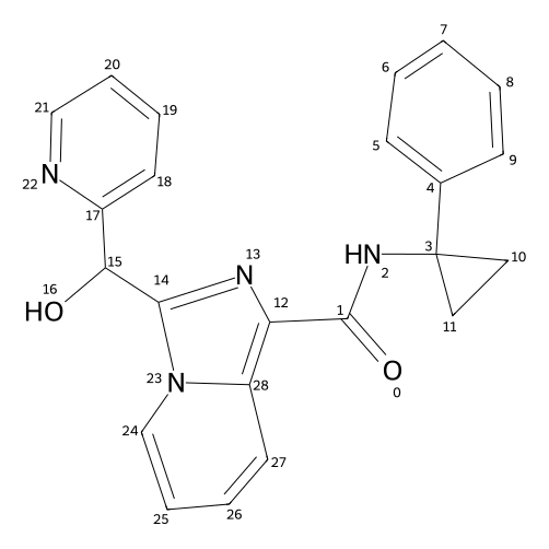 O=C(NC1(c2ccccc2)CC1)c1nc(C(O)c2ccccn2)n2ccccc12